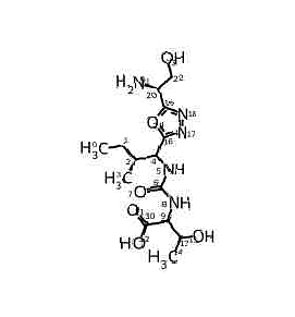 CC[C@H](C)C(NC(=O)NC(C(=O)O)C(C)O)c1nnc([C@@H](N)CO)o1